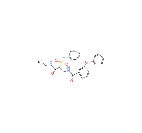 N#CCNC(=O)C(CNC(=O)c1cccc(Oc2ccccc2)c1)S(=O)(=O)Cc1ccccc1